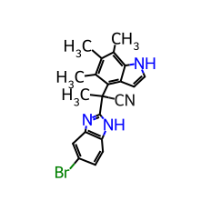 Cc1c(C)c(C)c2[nH]ccc2c1C(C)(C#N)c1nc2cc(Br)ccc2[nH]1